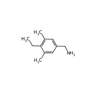 CCc1c(C)cc(CN)cc1C